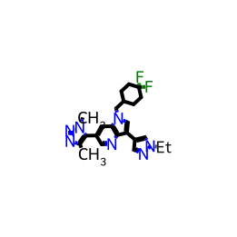 CCn1cc(-c2cn(CC3CCC(F)(F)CC3)c3cc(-c4c(C)nnn4C)cnc23)cn1